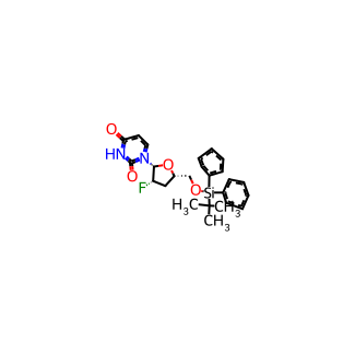 CC(C)(C)[Si](OC[C@@H]1C[C@H](F)[C@H](n2ccc(=O)[nH]c2=O)O1)(c1ccccc1)c1ccccc1